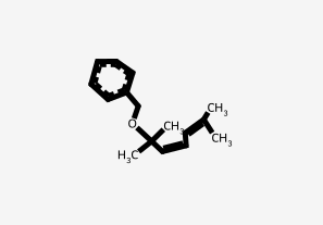 CC(C)=C/C=C\C(C)(C)OCc1ccccc1